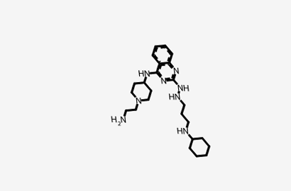 NCCN1CCC(Nc2nc(NNCCCNC3CCCCC3)nc3ccccc23)CC1